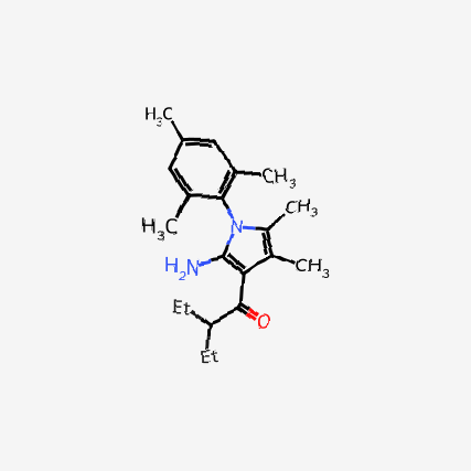 CCC(CC)C(=O)c1c(C)c(C)n(-c2c(C)cc(C)cc2C)c1N